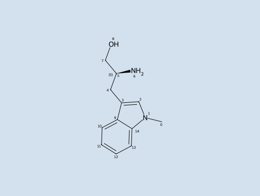 Cn1cc(C[C@H](N)CO)c2ccccc21